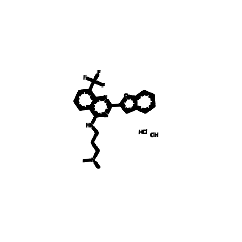 CN(C)CCCNc1nc(-c2cc3ccccc3o2)nc2c(C(F)(F)F)cccc12.Cl.Cl